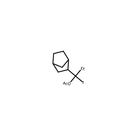 CCC(I)(OC(C)=O)C1CC2CCC1C2